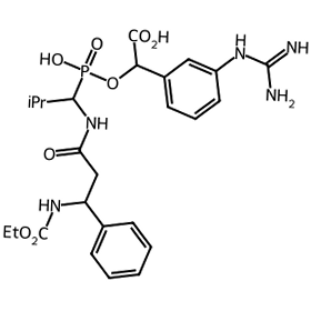 CCOC(=O)NC(CC(=O)NC(C(C)C)P(=O)(O)OC(C(=O)O)c1cccc(NC(=N)N)c1)c1ccccc1